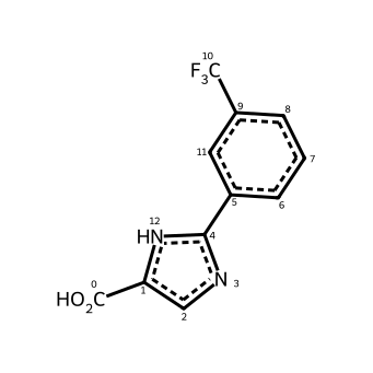 O=C(O)c1cnc(-c2cccc(C(F)(F)F)c2)[nH]1